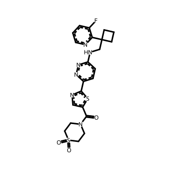 O=C(c1cnc(-c2ccc(NCC3(c4ncccc4F)CCC3)nn2)s1)N1CCS(=O)(=O)CC1